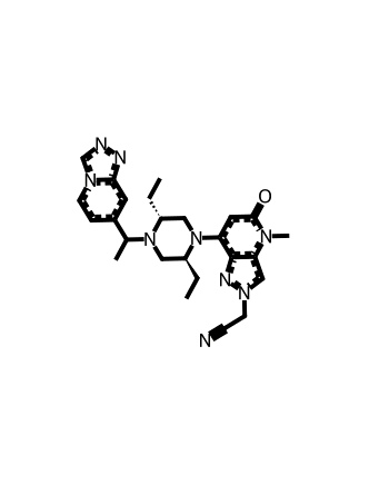 CC[C@H]1CN(C(C)c2ccn3cnnc3c2)[C@H](CC)CN1c1cc(=O)n(C)c2cn(CC#N)nc12